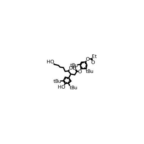 CCC(=O)Oc1cc(C(C)(C)C)c(OC(=O)CC(c2cc(C(C)(C)C)c(O)c(C(C)(C)C)c2)C(O)CCCCCO)c(C(C)(C)C)c1